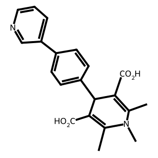 CC1=C(C(=O)O)C(c2ccc(-c3cccnc3)cc2)C(C(=O)O)=C(C)N1C